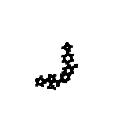 Cc1c(Nc2ncc3cc(Cl)c(C4CCN(C5COC5)CC4)cc3n2)cnn1C1CCOC1